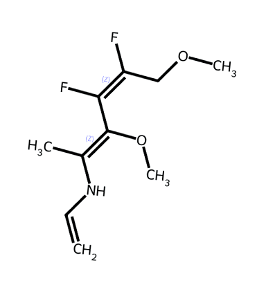 C=CN/C(C)=C(OC)/C(F)=C(/F)COC